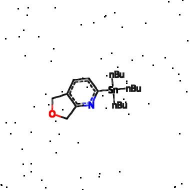 CCC[CH2][Sn]([CH2]CCC)([CH2]CCC)[c]1ccc2c(n1)COC2